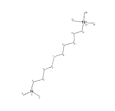 CN(C)CCCCCCCCCC[N+](C)(C)C